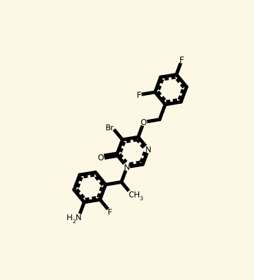 CC(c1cccc(N)c1F)n1cnc(OCc2ccc(F)cc2F)c(Br)c1=O